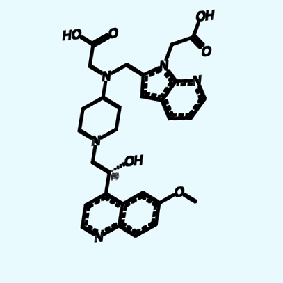 COc1ccc2nccc([C@@H](O)CN3CCC(N(CC(=O)O)Cc4cc5cccnc5n4CC(=O)O)CC3)c2c1